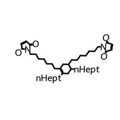 CCCCCCCC1=C(CCCCCCCN2C(=O)C=CC2=O)CC(CCCCCCCN2C(=O)C=CC2=O)C(CCCCCCC)C1